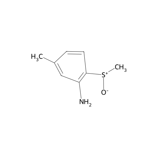 Cc1ccc([S+](C)[O-])c(N)c1